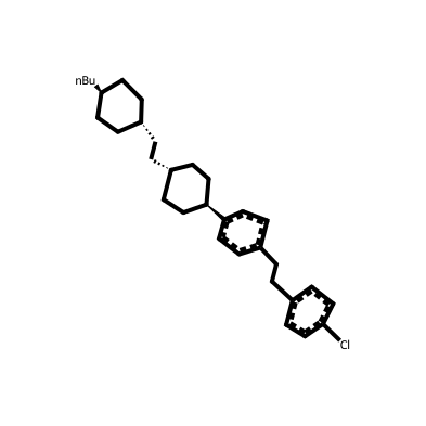 CCCC[C@H]1CC[C@H](CC[C@H]2CC[C@H](c3ccc(CCc4ccc(Cl)cc4)cc3)CC2)CC1